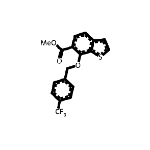 COC(=O)c1ccc2ccsc2c1OCc1ccc(C(F)(F)F)cc1